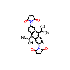 Cc1cc2c(=C(C#N)C#N)c3cc(N4C(=O)C=CC4=O)ccc3c(=C(C#N)C#N)c2cc1N1C(=O)C=CC1=O